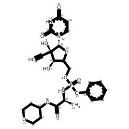 C#C[C@@]1(O)[C@H](O)C(COP(=O)(N[C@@H](C)C(=O)OC2CCOCC2)Oc2ccccc2)O[C@H]1n1ccc(=O)[nH]c1=O